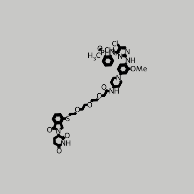 COc1cc(N2CCC(NC(=O)COCCOCCOCCSc3cccc4c3CN(C3CCC(=O)NC3=O)C4=O)CC2)ccc1Nc1ncc(Cl)c(Nc2ccccc2P(C)(C)=O)n1